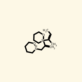 C=C(C[SiH]1CCCCO1)[Si]1(C(C)=CC)CCCCO1